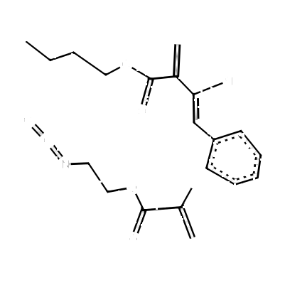 C=C(C(=O)OCCCC)C(S)=Cc1ccccc1.C=C(C)C(=O)OCCN=C=O